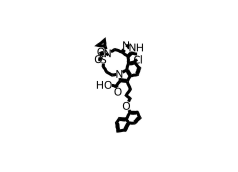 Cc1[nH]nc2c1-c1c(Cl)ccc3c(CCCOc4cccc5ccccc45)c(C(=O)O)n(c13)CCCS(=O)(=O)N(C1CC1)C2